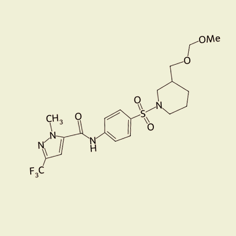 COCOCC1CCCN(S(=O)(=O)c2ccc(NC(=O)c3cc(C(F)(F)F)nn3C)cc2)C1